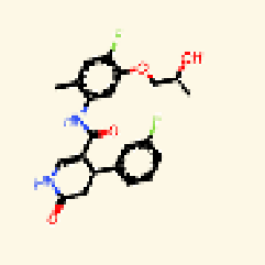 Cc1cc(F)c(OC[C@H](C)O)cc1NC(=O)C1=CNC(=O)CC1c1cccc(F)c1